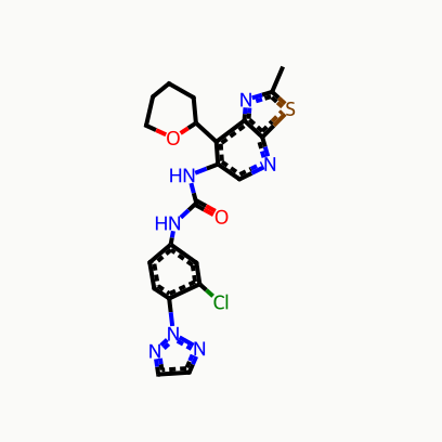 Cc1nc2c(C3CCCCO3)c(NC(=O)Nc3ccc(-n4nccn4)c(Cl)c3)cnc2s1